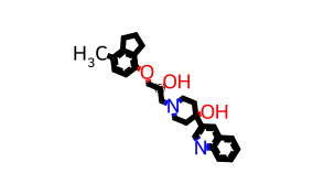 Cc1ccc(OC[C@@H](O)CN2CCC(O)(c3cnc4ccccc4c3)CC2)c2c1CCC2